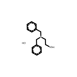 CCCCCCCCCCCCN(Cc1ccccc1)Cc1ccccc1.Cl